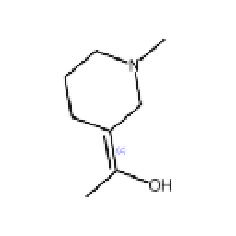 C/C(O)=C1\CCCN(C)C1